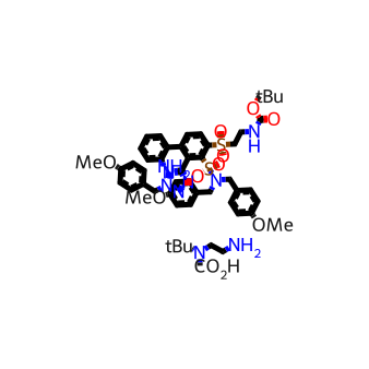 CC(C)(C)N(CCN)C(=O)O.COc1ccc(CN(Cc2ccc(OC)cc2)S(=O)(=O)c2c(S(=O)(=O)CCNC(=O)OC(C)(C)C)ccc(-c3ccccc3N)c2-c2nnn(Cc3ccc(OC)cc3)n2)cc1